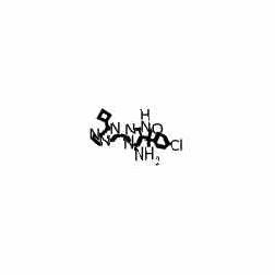 CC1(c2ccc(Cl)cc2)C(=O)Nc2nc(-c3cn4ccnc4c(C4CCC4)n3)nc(N)c21